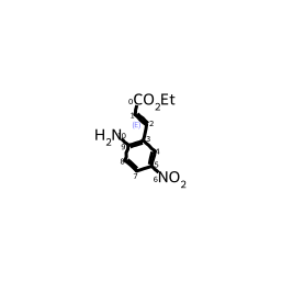 CCOC(=O)/C=C/c1cc([N+](=O)[O-])ccc1N